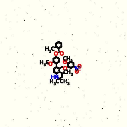 COc1ccc([N+](=O)[O-])cc1OCc1c(-c2ccc(OC(=O)c3ccccc3C)cc2OC)ccc2c1C(C)=CC(C)(C)N2